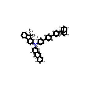 CC1(C)c2ccccc2-c2ccc(N(c3ccc(-c4ccc(-c5ccc(C67CC8CC(CC(C8)C6)C7)cc5)cc4)cc3)c3ccc4cc5ccccc5cc4c3)cc21